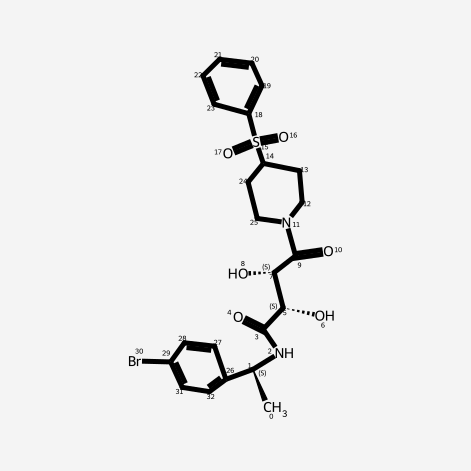 C[C@H](NC(=O)[C@@H](O)[C@H](O)C(=O)N1CCC(S(=O)(=O)c2ccccc2)CC1)c1ccc(Br)cc1